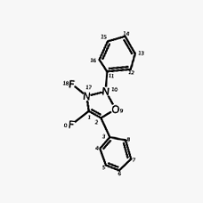 FC1=C(c2ccccc2)ON(c2ccccc2)N1F